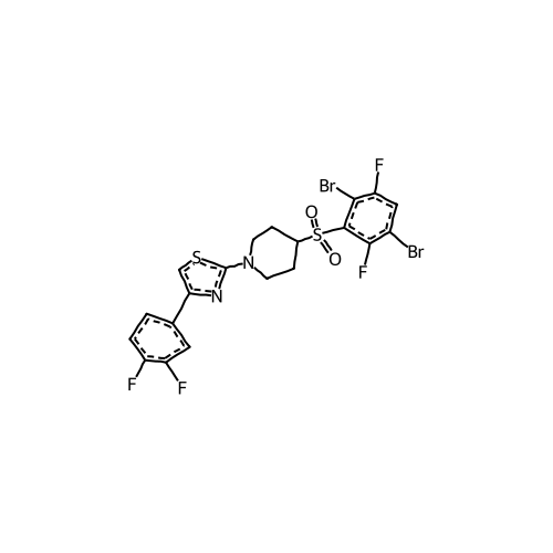 O=S(=O)(c1c(F)c(Br)cc(F)c1Br)C1CCN(c2nc(-c3ccc(F)c(F)c3)cs2)CC1